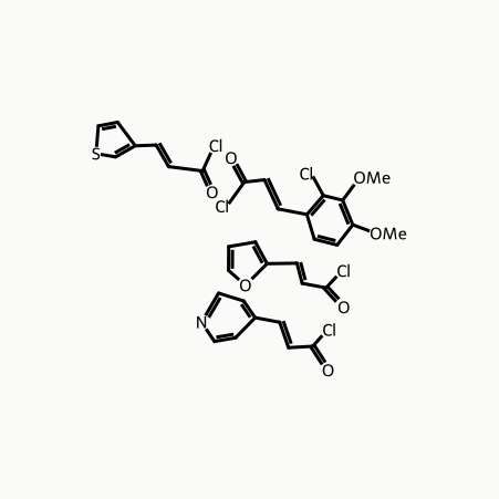 COc1ccc(C=CC(=O)Cl)c(Cl)c1OC.O=C(Cl)C=Cc1ccco1.O=C(Cl)C=Cc1ccncc1.O=C(Cl)C=Cc1ccsc1